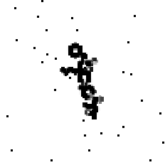 CCCCC1CN(CC2CCCCC2)C(=O)OC12CCN(C1(C)CCN(C(=O)c3cc(C)oc3C)CC1)CC2